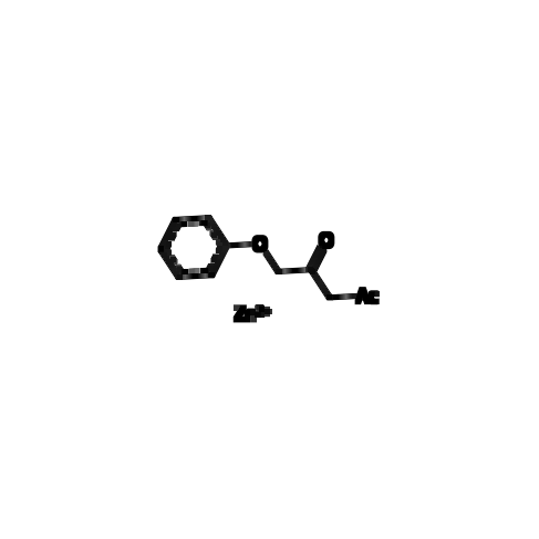 CC(=O)CC(=O)COc1ccccc1.[Zn+2]